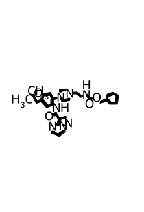 CC1(C)Cc2cc(NC(=O)c3cnn4cccnc34)c(N3CCN(CCNC(=O)OCc4ccccc4)CC3)cc2O1